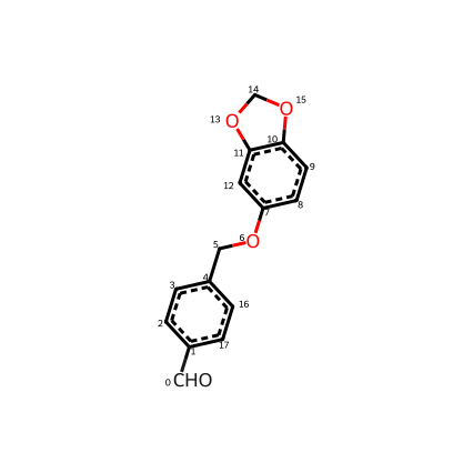 O=Cc1ccc(COc2ccc3c(c2)OCO3)cc1